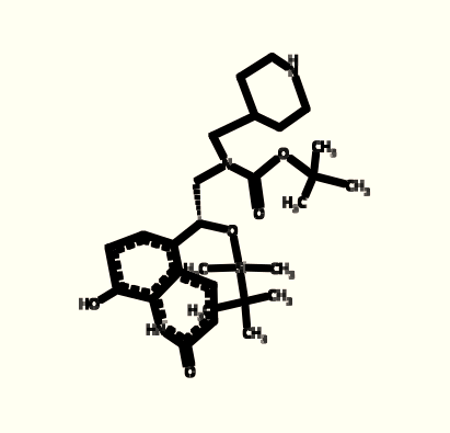 CC(C)(C)OC(=O)N(CC1CCNCC1)C[C@H](O[Si](C)(C)C(C)(C)C)c1ccc(O)c2[nH]c(=O)ccc12